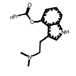 CCCC(=O)Oc1cccc2[nH]cc(CCN(C)C)c12